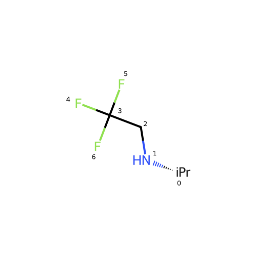 [CH2][C@@H](C)NCC(F)(F)F